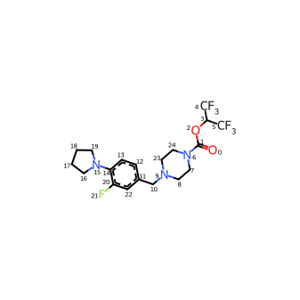 O=C(OC(C(F)(F)F)C(F)(F)F)N1CCN(Cc2ccc(N3CCCC3)c(F)c2)CC1